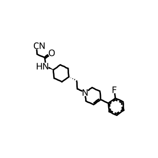 N#CCC(=O)N[C@H]1CC[C@H](CCN2CC=C(c3ccccc3F)CC2)CC1